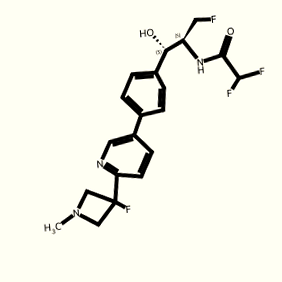 CN1CC(F)(c2ccc(-c3ccc([C@H](O)[C@@H](CF)NC(=O)C(F)F)cc3)cn2)C1